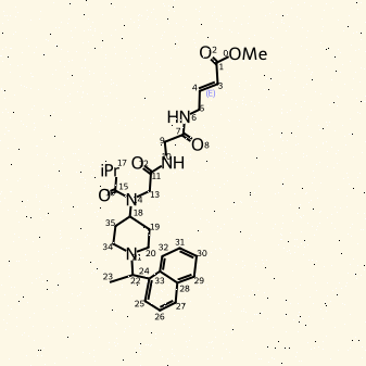 COC(=O)/C=C/CNC(=O)CNC(=O)CN(C(=O)C(C)C)C1CCN(C(C)c2cccc3ccccc23)CC1